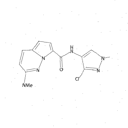 CNc1ccc2ccc(C(=O)Nc3cn(C)nc3Cl)n2n1